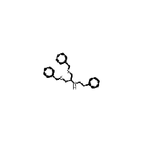 c1ccc(CCNC(CSCc2ccccc2)CSCc2ccccc2)cc1